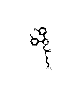 CCCCOC(=O)Cn1nnc(-c2cccc(F)c2)c1-c1cccc(F)c1